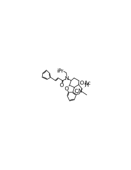 CC(=O)O[C@@]12CCC(N(CC(C)C)C(=O)/C=C/c3ccccc3)C3Oc4cccc5c4[C@@]31CCN(C)[C@@H]2C5